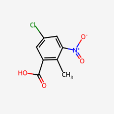 Cc1c(C(=O)O)cc(Cl)cc1[N+](=O)[O-]